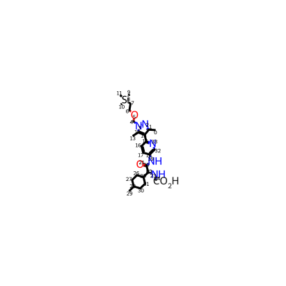 Cc1nn(COCC[Si](C)(C)C)c(C)c1-c1ccc(NC(=O)[C@@H](NC(=O)O)C2CCC(C)CC2)cn1